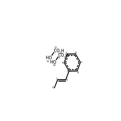 CC=Cc1ccccc1.O=C(O)O.O=C(O)O